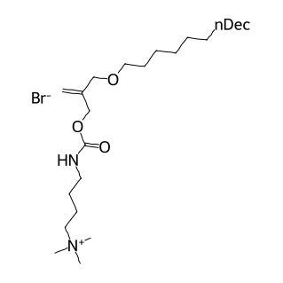 C=C(COCCCCCCCCCCCCCCCC)COC(=O)NCCCC[N+](C)(C)C.[Br-]